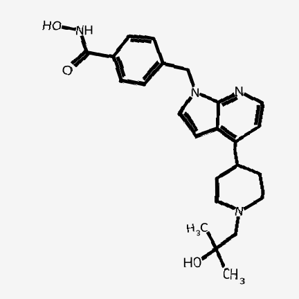 CC(C)(O)CN1CCC(c2ccnc3c2ccn3Cc2ccc(C(=O)NO)cc2)CC1